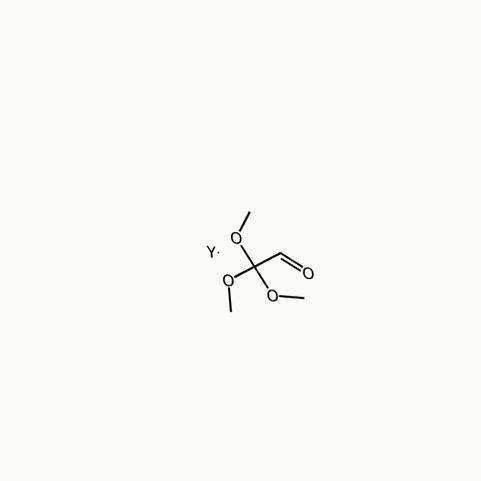 COC(C=O)(OC)OC.[Y]